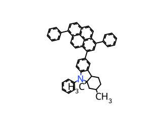 CC1CCC2c3cc(-c4cc(-c5ccccc5)c5ccc6ccc(-c7ccccc7)c7ccc4c5c67)ccc3N(c3ccccc3)C2(C)C1